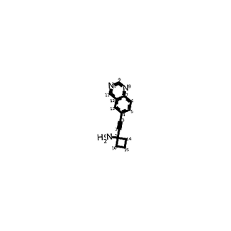 NC1(C#Cc2ccc3ncncc3c2)CCC1